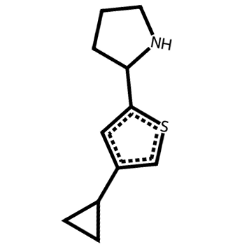 c1sc(C2CCCN2)cc1C1CC1